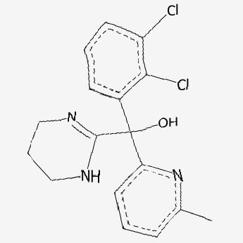 Cc1cccc(C(O)(C2=NCCCN2)c2cccc(Cl)c2Cl)n1